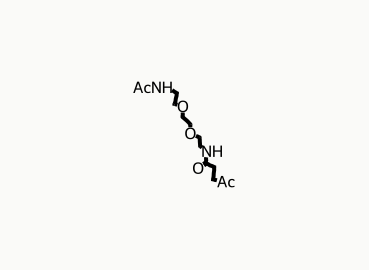 CC(=O)CCC(=O)NCCOCCOCCNC(C)=O